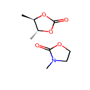 CN1CCOC1=O.C[C@H]1OC(=O)O[C@@H]1C